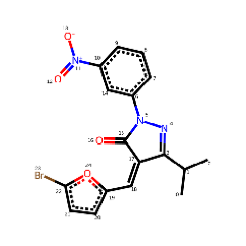 CC(C)C1=NN(c2cccc([N+](=O)[O-])c2)C(=O)C1=Cc1ccc(Br)o1